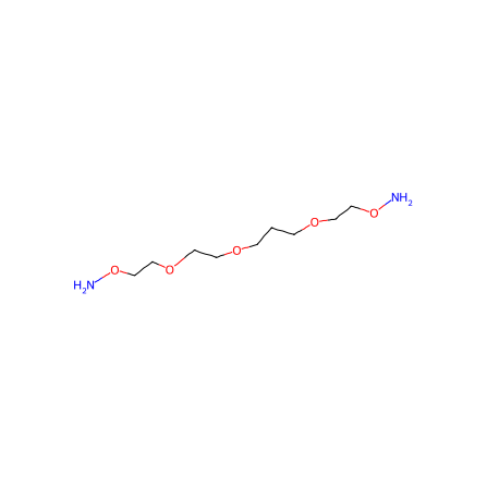 NOCCOCCCOCCOCCON